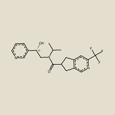 CC(C)N(C[C@@H](O)c1cccnc1)C(=O)C1Cc2cnc(C(F)(F)F)cc2C1